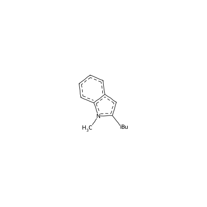 CCC(C)c1cc2ccccc2n1C